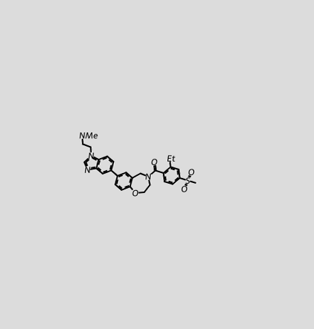 CCc1cc(S(C)(=O)=O)ccc1C(=O)N1CCOc2ccc(-c3ccc4c(c3)ncn4CCNC)cc2C1